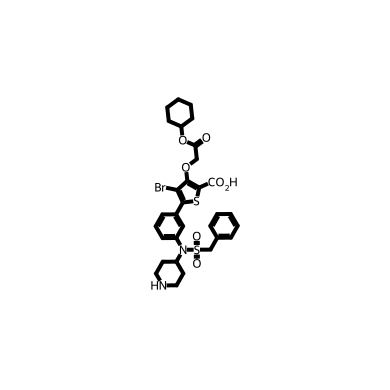 O=C(COc1c(C(=O)O)sc(-c2cccc(N(C3CCNCC3)S(=O)(=O)Cc3ccccc3)c2)c1Br)OC1CCCCC1